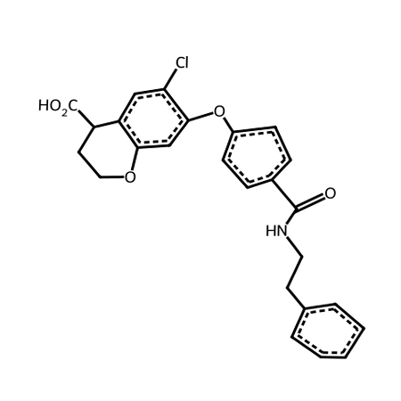 O=C(NCCc1ccccc1)c1ccc(Oc2cc3c(cc2Cl)C(C(=O)O)CCO3)cc1